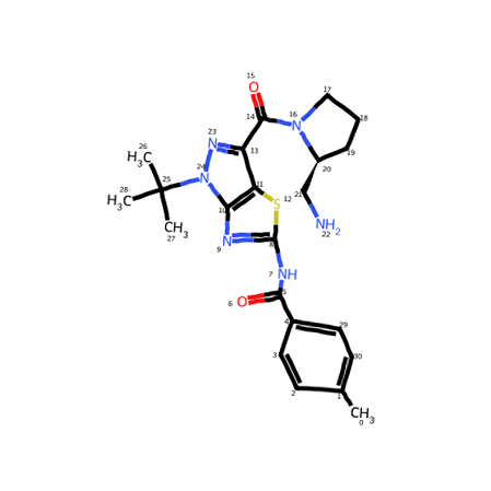 Cc1ccc(C(=O)Nc2nc3c(s2)c(C(=O)N2CCC[C@H]2CN)nn3C(C)(C)C)cc1